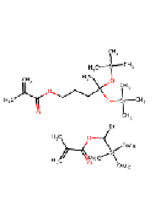 C=C(C)C(=O)OC(CC)[Si](OC)(OC)OC.C=C(C)C(=O)OCCCC([SiH3])(O[Si](C)(C)C)O[Si](C)(C)C